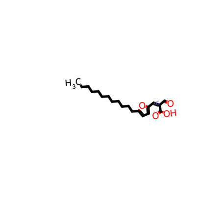 CCCCCCCCCCCCc1ccc(/C=C(/C=O)C(=O)O)o1